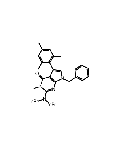 CCCN(CCC)c1nc2c(c(-c3c(C)cc(C)cc3C)cn2Cc2ccccc2)c(=O)n1C